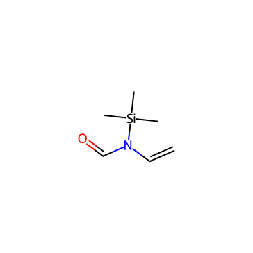 C=CN(C=O)[Si](C)(C)C